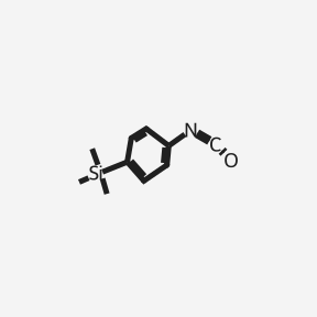 C[Si](C)(C)c1ccc(N=C=O)cc1